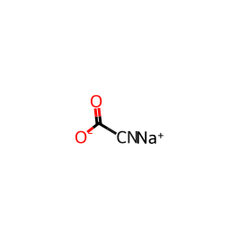 N#CC(=O)[O-].[Na+]